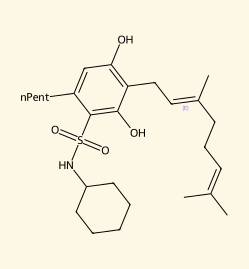 CCCCCc1cc(O)c(C/C=C(\C)CCC=C(C)C)c(O)c1S(=O)(=O)NC1CCCCC1